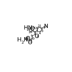 N#Cc1ccc(C(C(=O)CCC(=O)ON)C2CCNO2)cc1